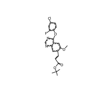 COc1cc2c(Oc3ccc(Cl)cc3F)ncnc2cc1C=CC(=O)OC(C)(C)C